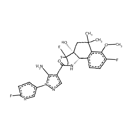 COc1c(F)ccc2c1C(C)(C)C[C@](O)(C(F)(F)F)[C@H]2NC(=O)c1cnn(-c2ccc(F)nc2)c1N